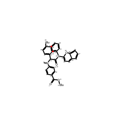 CN(c1ccc(C(=O)OC(C)(C)C)cc1)C(C(=O)N(c1ccccc1)c1ccc2cccc-2o1)c1ccc(C(C)(C)C)cc1